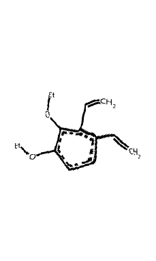 C=Cc1ccc(OCC)c(OCC)c1C=C